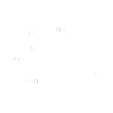 CCN(c1c([N+](=O)[O-])cc(C(F)(F)F)cc1[N+](=O)[O-])C(C)C